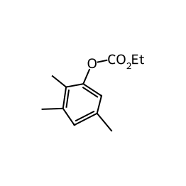 CCOC(=O)Oc1cc(C)cc(C)c1C